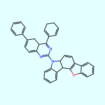 C1=CC(C2=NC(N3c4ccccc4C4c5oc6ccccc6c5C=CC43)=NC3=CC=C(c4ccccc4)CC32)=CCC1